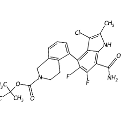 Cc1[nH]c2c(C(N)=O)c(F)c(F)c(-c3cccc4c3CCN(C(=O)OC(C)(C)C)C4)c2c1Cl